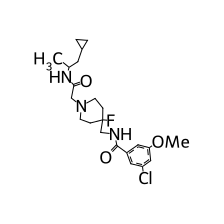 COc1cc(Cl)cc(C(=O)NCC2(F)CCN(CC(=O)NC(C)CC3CC3)CC2)c1